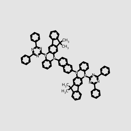 CC1(C)c2ccccc2-c2cc3c(cc21)N(c1ccc2cc(N4c5ccccc5N(c5nc(-c6ccccc6)nc(-c6ccccc6)n5)c5cc6c(cc54)C(C)(C)c4ccccc4-6)ccc2c1)c1ccccc1N3c1nc(-c2ccccc2)nc(-c2ccccc2)n1